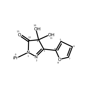 CC(C)N1N=C(c2ccco2)C(O)(O)C1=O